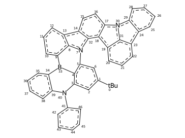 CC(C)(C)c1cc2c3c(c1)-n1c4c(cccc4c4ccc5c(c6cccc7c8ccccc8n5c76)c41)B3c1ccccc1N2c1ccccc1